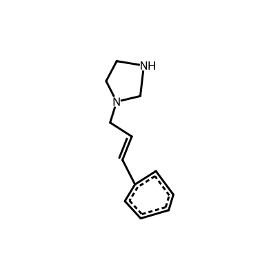 C(=Cc1ccccc1)CN1CCNC1